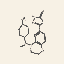 C[C@@H](C1CCC(N)CC1)N1CCOc2ccc(-c3n[nH]c(=O)o3)cc21